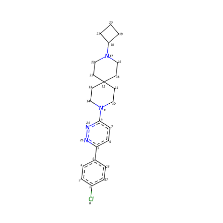 Clc1ccc(-c2ccc(N3CCC4(CC3)CCN(C3CCC3)CC4)nn2)cc1